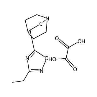 CCc1noc(C2CN3CCC2CC3)n1.O=C(O)C(=O)O